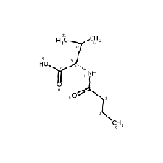 CCCC(=O)N[C@H](C(=O)O)C(C)C